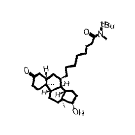 CN(C(=O)CCCCCCC[C@@H]1C[C@H]2CC(=O)CC[C@]2(C)[C@H]2CC[C@]3(C)[C@@H](O)CC[C@H]3[C@H]12)C(C)(C)C